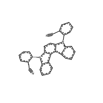 N#Cc1ccccc1-n1c2ccccc2c2c3c4ccccc4n(-c4ccccc4C#N)c3ccc21